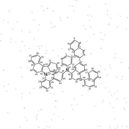 c1cc(-c2cccc3ccccc23)cc(N(c2ccc(-c3ccccc3-n3c4ccccc4c4c5ccccc5ccc43)cc2)c2ccc(-c3cccc4ccccc34)c3ccccc23)c1